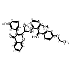 CCOc1ccc(C(=N)c2c(N)ncnc2NC(C)c2oc3ccccc3c(=O)c2-c2cccc(F)c2)cc1